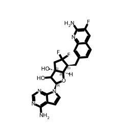 Nc1nc2cc(C[C@H]3[C@H]4O[C@@H](n5ccc6c(N)ncnc65)C(O)[C@@]4(O)CC3(F)F)ccc2cc1F